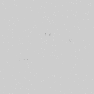 COC(=O)CCC(=O)OC.[NaH]